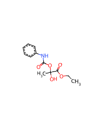 CCOC(=O)C(C)(O)OC(=O)Nc1ccccc1